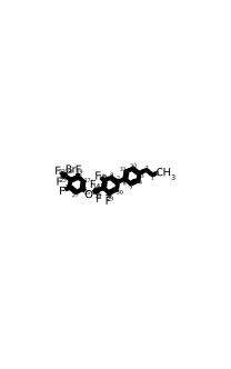 CCCc1ccc(-c2cc(F)c(C(F)(F)Oc3cc(F)c(C(F)(F)Br)c(F)c3)c(F)c2)cc1